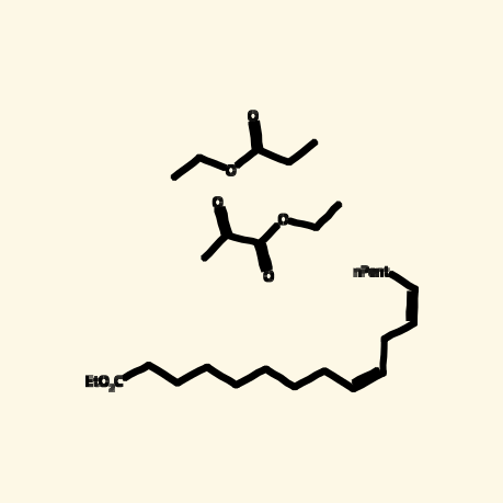 CCCCC/C=C\C/C=C\CCCCCCCC(=O)OCC.CCOC(=O)C(C)=O.CCOC(=O)CC